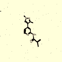 Cc1nn(C)cc1-c1ccnc(NC(=O)C(C)C)c1